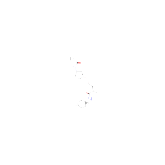 CC(C)C(=O)NC1CCC(OCCC(C)C(=O)N[C@@H]2CC[C@H](O)C2)C1